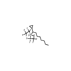 CCCCCCCC(C1CC1)P(F)(F)(C(F)(F)C(F)(F)F)C(F)(F)C(F)(F)F